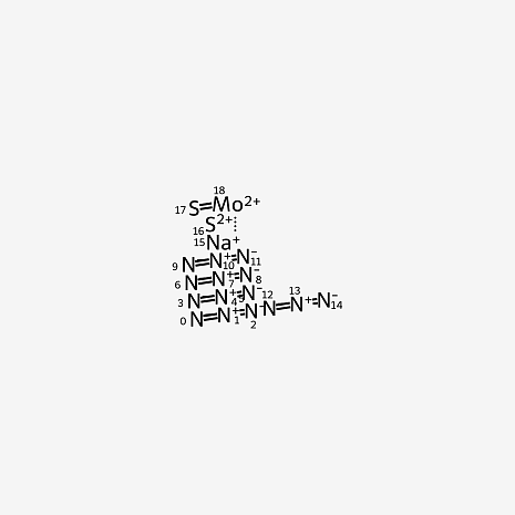 [N-]=[N+]=[N-].[N-]=[N+]=[N-].[N-]=[N+]=[N-].[N-]=[N+]=[N-].[N-]=[N+]=[N-].[Na+].[S+2].[S]=[Mo+2]